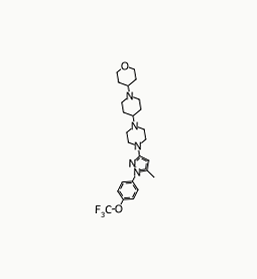 Cc1cc(N2CCN(C3CCN(C4CCOCC4)CC3)CC2)nn1-c1ccc(OC(F)(F)F)cc1